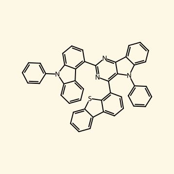 c1ccc(-n2c3ccccc3c3c(-c4nc(-c5cccc6c5sc5ccccc56)c5c(n4)c4ccccc4n5-c4ccccc4)cccc32)cc1